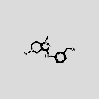 CC(=O)N1CCc2c(c(Nc3cccc(CBr)c3)nn2C)C1